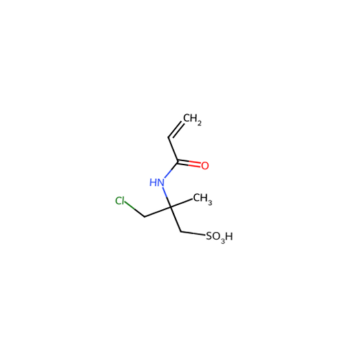 C=CC(=O)NC(C)(CCl)CS(=O)(=O)O